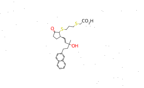 CC(O)(C=C[C@H]1CCC(=O)C1SCCCSCC(=O)O)CCc1ccc2ccccc2c1